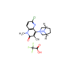 Cn1c(=O)c(C#N)c(N2C[C@H]3CC[C@@H](C2)N3)c2nc(Cl)ccc21.O=C(O)C(F)(F)F